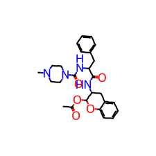 CC(=O)OC1Oc2ccccc2C[C@@H]1NC(=O)C(Cc1ccccc1)NC(=O)N1CCN(C)CC1